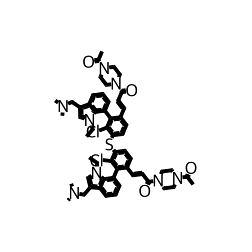 CCn1cc(CN(C)C)c2cccc(-c3c(/C=C/C(=O)N4CCN(C(C)=O)CC4)ccc(Sc4ccc(/C=C/C(=O)N5CCN(C(C)=O)CC5)c(-c5cccc6c(CN(C)C)cn(CC)c56)c4Cl)c3Cl)c21